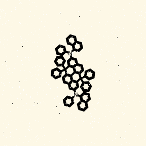 c1ccc(N(c2cc3c4c5c(ccc4c2)C(c2ccccc2)(c2ccccc2)c2cc(N(c4ccccc4)c4cccc6ccccc46)cc4ccc(c-5c24)C3(c2ccccc2)c2ccccc2)c2cccc3ccccc23)cc1